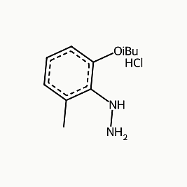 Cc1cccc(OCC(C)C)c1NN.Cl